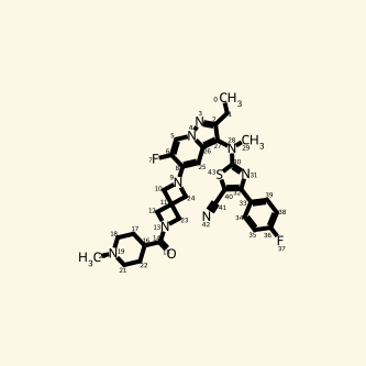 CCc1nn2cc(F)c(N3CC4(CN(C(=O)C5CCN(C)CC5)C4)C3)cc2c1N(C)c1nc(-c2ccc(F)cc2)c(C#N)s1